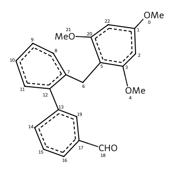 COc1cc(OC)c(Cc2ccccc2-c2cccc(C=O)c2)c(OC)c1